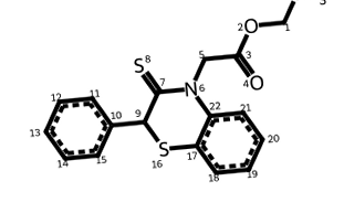 CCOC(=O)CN1C(=S)C(c2ccccc2)Sc2ccccc21